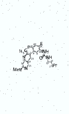 CNc1cc2nc(C)c(-c3cc(NC(=O)NCCC(C)C)c(F)cc3F)cc2cn1